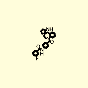 N=C1CCCC12CCN(C(=O)c1ccc(NC(=O)c3cccc(F)c3)cc1)c1ccccc1C2